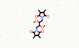 COC(CN1C(=O)C(C)=C(C)C1=O)C(CN1C(=O)C(C)=C(C)C1=O)OC